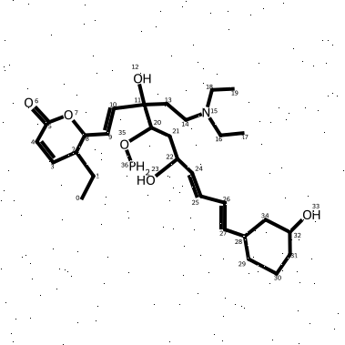 CCC1C=CC(=O)OC1C=CC(O)(CCN(CC)CC)C(CC(O)C=CC=CC1CCCC(O)C1)OP